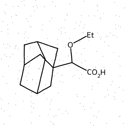 CCOC(C(=O)O)C12CC3CC(CC(C3)C1)C2